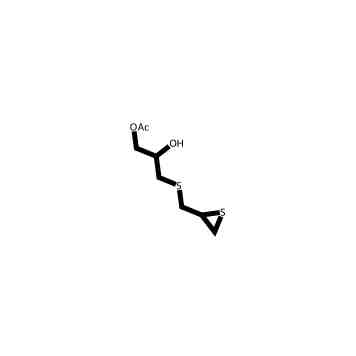 CC(=O)OCC(O)CSCC1CS1